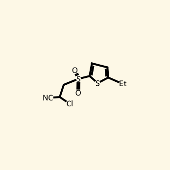 CCc1ccc(S(=O)(=O)CC(Cl)C#N)s1